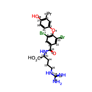 CC(C)c1cc(Oc2c(Br)cc(C(=O)N[C@@H](CCCNC(=N)N)C(=O)O)cc2Br)ccc1O